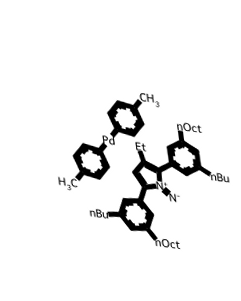 CCCCCCCCc1cc(CCCC)cc(C2=CC(CC)=C(c3cc(CCCC)cc(CCCCCCCC)c3)[N+]2=[N-])c1.Cc1cc[c]([Pd][c]2ccc(C)cc2)cc1